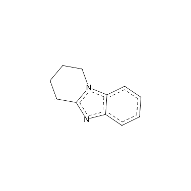 [CH]1CCCn2c1nc1ccccc12